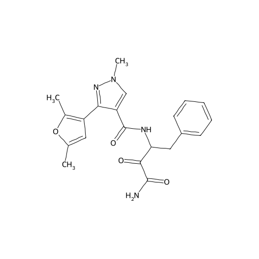 Cc1cc(-c2nn(C)cc2C(=O)NC(Cc2ccccc2)C(=O)C(N)=O)c(C)o1